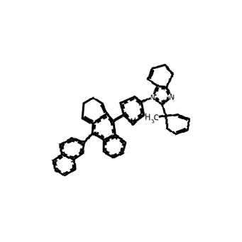 CC1(c2nc3c(n2-c2ccc(-c4c5c(c(-c6ccc7ccccc7c6)c6ccccc46)=CCCC=5)cc2)C=CCC3)C=CC=CC1